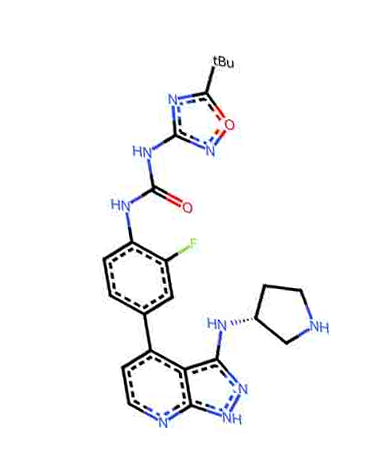 CC(C)(C)c1nc(NC(=O)Nc2ccc(-c3ccnc4[nH]nc(N[C@@H]5CCNC5)c34)cc2F)no1